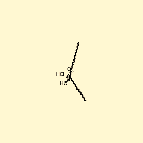 CCCCCCCCC=CCCCCCCCC(=O)OCCN1CCN(CCO)C1CCCCCCCC=CCCCCCCCC.Cl